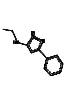 CCNc1cc(-c2ccccc2)n[nH]1